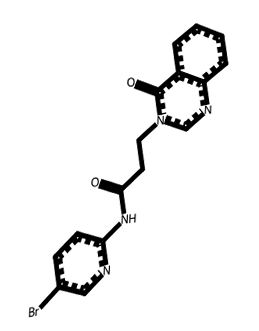 O=C(CCn1cnc2ccccc2c1=O)Nc1ccc(Br)cn1